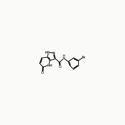 O=C(Nc1cccc(Br)c1)c1n[nH]c2ccc(=O)[nH]c12